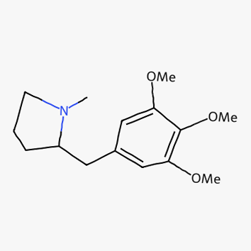 COc1cc(CC2CCCN2C)cc(OC)c1OC